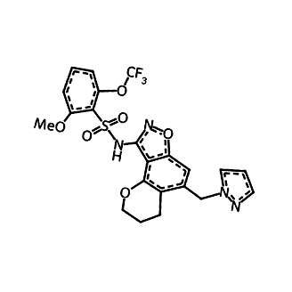 COc1cccc(OC(F)(F)F)c1S(=O)(=O)Nc1noc2cc(Cn3cccn3)c3c(c12)OCCC3